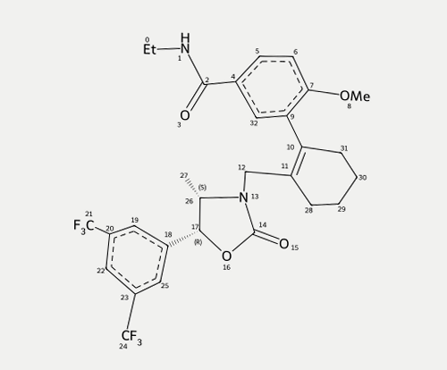 CCNC(=O)c1ccc(OC)c(C2=C(CN3C(=O)O[C@H](c4cc(C(F)(F)F)cc(C(F)(F)F)c4)[C@@H]3C)CCCC2)c1